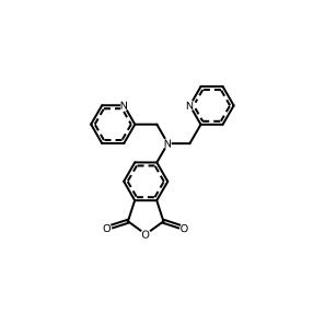 O=C1OC(=O)c2cc(N(Cc3ccccn3)Cc3ccccn3)ccc21